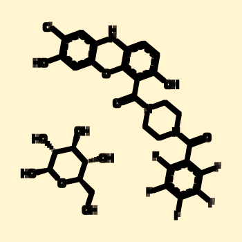 O=C(c1c(F)c(F)c(F)c(F)c1F)N1CCN(C(=O)c2c(O)ccc3c2Oc2cc(O)c(Cl)cc2N3)CC1.OC[C@H]1O[C@@H](O)[C@H](O)[C@@H](O)[C@@H]1O